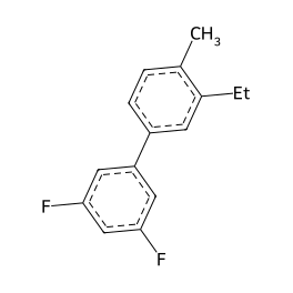 CCc1cc(-c2cc(F)cc(F)c2)ccc1C